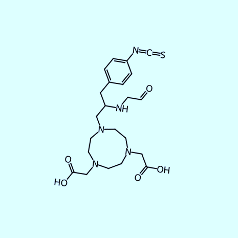 O=CCNC(Cc1ccc(N=C=S)cc1)CN1CCN(CC(=O)O)CCN(CC(=O)O)CC1